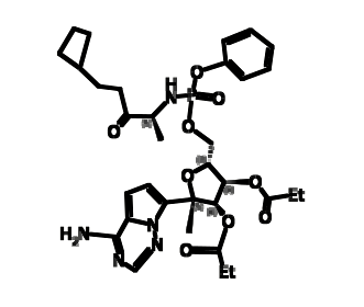 CCC(=O)O[C@H]1[C@@H](OC(=O)CC)[C@](C)(c2ccc3c(N)ncnn23)O[C@@H]1COP(=O)(N[C@@H](C)C(=O)CCC1CCC1)Oc1ccccc1